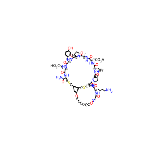 CC(C)C[C@@H]1NC(=O)[C@@H]2CCCN2C(=O)[C@@H]2CSCc3cc(cc(c3)OCCCCCCO/N=C/C(=O)N[C@@H](CCCCN)C(=O)N2)CSC[C@@H](C(N)=O)NC(=O)[C@H](CCC(=O)O)NC(=O)[C@H](Cc2ccc(O)cc2)NC(=O)[C@@H]2CCCN2C(=O)[C@H](C)NC(=O)[C@H](CC(=O)O)NC1=O